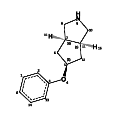 c1ccc(O[C@H]2C[C@H]3CNC[C@H]3C2)cc1